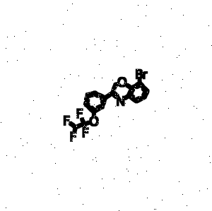 FC(F)C(F)(F)Oc1cccc(C2=Nc3cccc(Br)c3OC2)c1